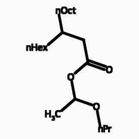 CCCCCCCCC(CCCCCC)CC(=O)OC(C)OCCC